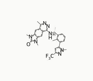 Cc1c(-c2cc(C(F)(F)F)nn2C)cccc1[C@@H](C)Nc1nnc(C)c2cc3c(cc12)n(C)c(=O)n3C